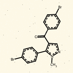 Cn1ncc(C(=O)c2ccc(Br)cc2)c1-c1ccc(Br)cc1